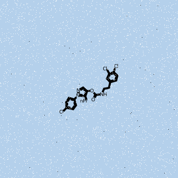 CCCc1c(OC(=O)NCCc2ccc(Cl)c(Cl)c2)cnn1-c1ccc(Cl)cc1